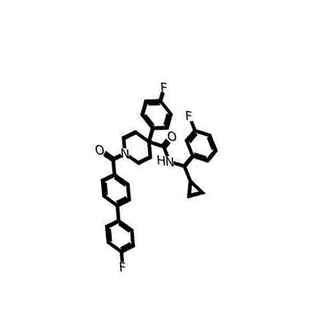 O=C(c1ccc(-c2ccc(F)cc2)cc1)N1CCC(C(=O)NC(c2cccc(F)c2)C2CC2)(c2ccc(F)cc2)CC1